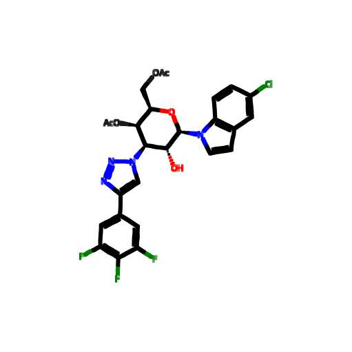 CC(=O)OC[C@H]1O[C@@H](n2ccc3cc(Cl)ccc32)[C@H](O)[C@@H](n2cc(-c3cc(F)c(F)c(F)c3)nn2)[C@H]1OC(C)=O